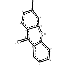 Cc1ccc2c(=O)c3ccccc3oc2c1